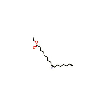 C=CCCCC/C=C\CCCCCCCC(=O)OCC